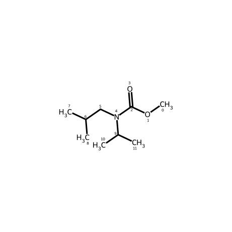 COC(=O)N(CC(C)C)C(C)C